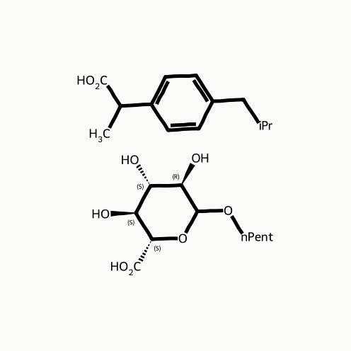 CC(C)Cc1ccc(C(C)C(=O)O)cc1.CCCCCOC1O[C@H](C(=O)O)[C@@H](O)[C@H](O)[C@H]1O